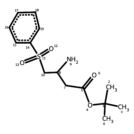 CC(C)(C)OC(=O)CC(N)CS(=O)(=O)c1ccccc1